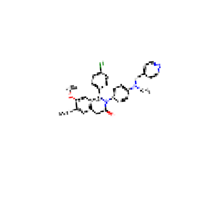 CC[C@@H](C)Oc1cc2c(cc1OC)CC(=O)N(c1ccc(N(C)Cc3ccncc3)cc1)[C@@H]2c1ccc(Cl)cc1